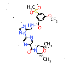 C[C@@H]1CN(C(=O)c2cnc(-n3ncnc3CNC(=O)c3cc(OC(F)(F)F)cc(S(C)(=O)=O)c3)cn2)C[C@H](C)O1